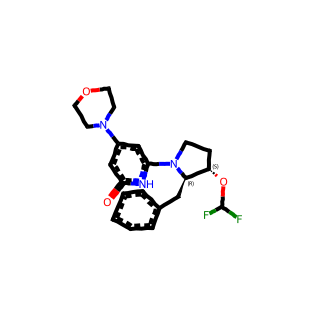 O=c1cc(N2CCOCC2)cc(N2CC[C@H](OC(F)F)[C@H]2Cc2ccccc2)[nH]1